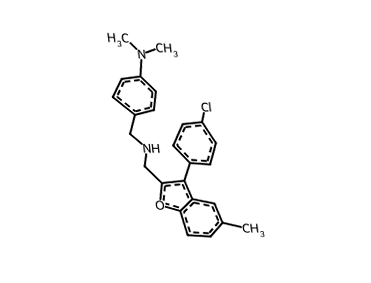 Cc1ccc2oc(CNCc3ccc(N(C)C)cc3)c(-c3ccc(Cl)cc3)c2c1